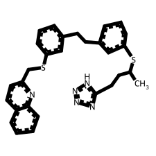 CC(CCc1nnn[nH]1)Sc1cccc(CCc2cccc(SCc3ccc4ccccc4n3)c2)c1